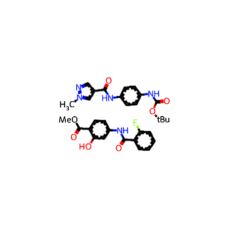 COC(=O)c1ccc(NC(=O)c2ccccc2F)cc1O.Cn1cc(C(=O)Nc2ccc(NC(=O)OC(C)(C)C)cc2)cn1